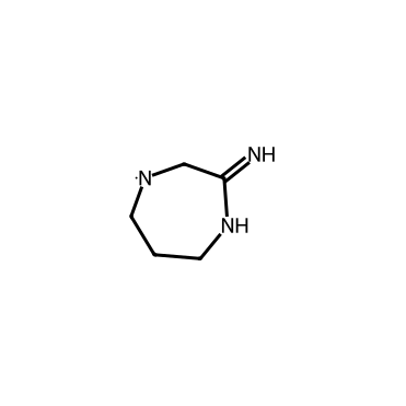 N=C1C[N]CCCN1